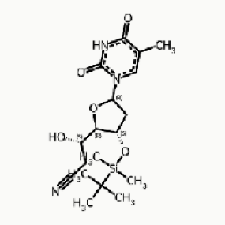 Cc1cn([C@H]2C[C@H](O[Si](C)(C)C(C)(C)C)[C@@H]([C@@H](O)CC#N)O2)c(=O)[nH]c1=O